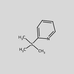 CS(C)(C)c1ccccn1